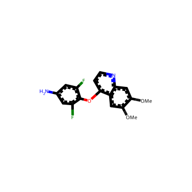 COc1cc2nccc(Oc3c(F)cc(N)cc3F)c2cc1OC